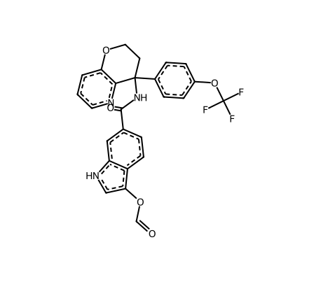 O=COc1c[nH]c2cc(C(=O)NC3(c4ccc(OC(F)(F)F)cc4)CCOc4cccnc43)ccc12